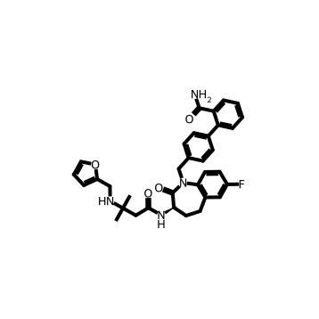 CC(C)(CC(=O)N[C@@H]1CCc2cc(F)ccc2N(Cc2ccc(-c3ccccc3C(N)=O)cc2)C1=O)NCc1ccco1